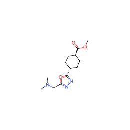 COC(=O)[C@H]1CC[C@H](c2nnc(CN(C)C)o2)CC1